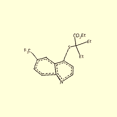 CCOC(=O)C(CC)(CC)Sc1ccnc2ccc(C(F)(F)F)cc12